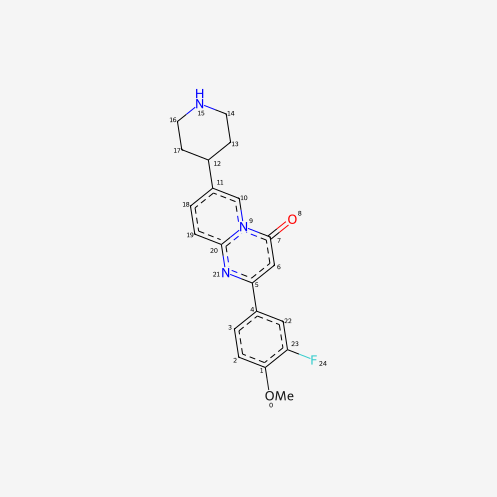 COc1ccc(-c2cc(=O)n3cc(C4CCNCC4)ccc3n2)cc1F